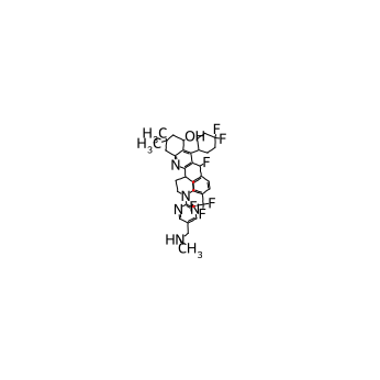 CNCc1cnc(N2CCC(c3nc4c(c(C5CCC(F)(F)CC5)c3C(F)c3ccc(C(F)(F)F)cc3)[C@@H](O)CC(C)(C)C4)CC2)nc1